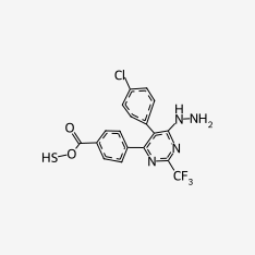 NNc1nc(C(F)(F)F)nc(-c2ccc(C(=O)OS)cc2)c1-c1ccc(Cl)cc1